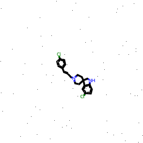 Clc1ccc(C=CCN2CCC3(CC2)CNc2ccc(Cl)cc23)cc1